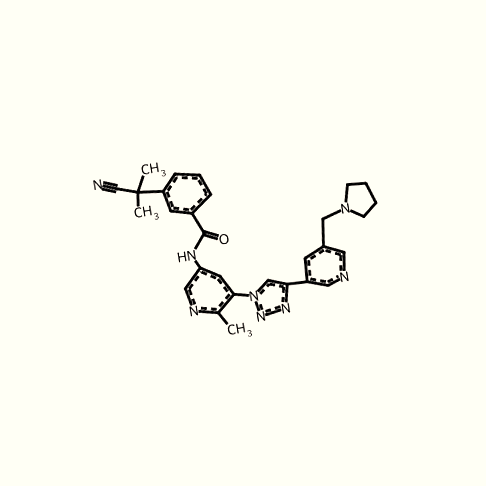 Cc1ncc(NC(=O)c2cccc(C(C)(C)C#N)c2)cc1-n1cc(-c2cncc(CN3CCCC3)c2)nn1